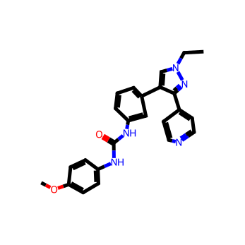 CCn1cc(-c2cccc(NC(=O)Nc3ccc(OC)cc3)c2)c(-c2ccncc2)n1